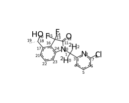 [2H]C([2H])(c1cccc(Cl)n1)N1C(=O)C(F)(F)c2c([C@H](C)O)cccc21